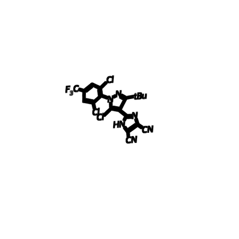 CC(C)(C)c1nn(-c2c(Cl)cc(C(F)(F)F)cc2Cl)c(Cl)c1-c1nc(C#N)c(C#N)[nH]1